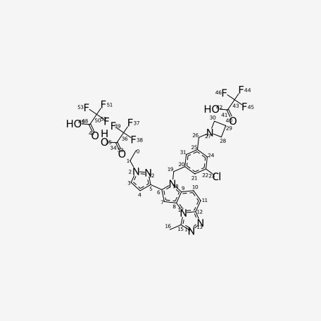 CCn1ccc(-c2cc3c(ccc4nnc(C)n43)n2Cc2cc(Cl)cc(CN3CCC3)c2)n1.O=C(O)C(F)(F)F.O=C(O)C(F)(F)F.O=C(O)C(F)(F)F